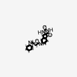 O=C(Cn1cnc2ccccc21)Nc1ccc2c(c1)CC1(C2)NC(=O)NC1=O